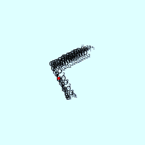 O=[N+]([O-])[O-].O=[N+]([O-])[O-].O=[N+]([O-])[O-].O=[N+]([O-])[O-].O=[N+]([O-])[O-].O=[N+]([O-])[O-].O=[N+]([O-])[O-].O=[N+]([O-])[O-].O=[N+]([O-])[O-].O=[N+]([O-])[O-].O=[N+]([O-])[O-].O=[N+]([O-])[O-].O=[N+]([O-])[O-].O=[N+]([O-])[O-].O=[N+]([O-])[O-].O=[N+]([O-])[O-].O=[N+]([O-])[O-].O=[N+]([O-])[O-].O=[N+]([O-])[O-].[Bi+3].[Bi+3].[Bi+3].[Bi+3].[Bi+3]